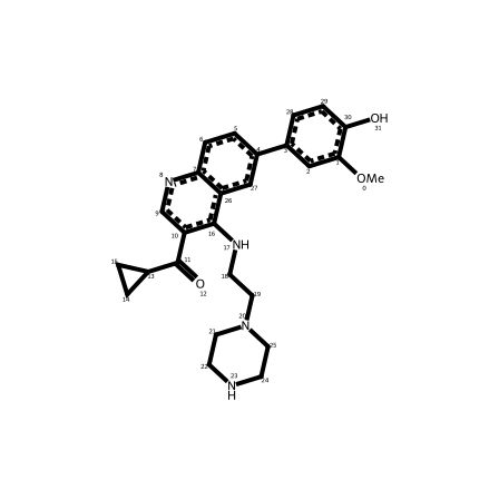 COc1cc(-c2ccc3ncc(C(=O)C4CC4)c(NCCN4CCNCC4)c3c2)ccc1O